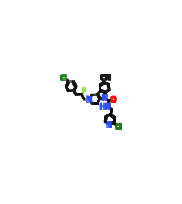 N#Cc1ccc2c(c1)c1c(n2C(=O)NCc2ccnc(Cl)c2)CCN(C/C(F)=C/c2ccc(Cl)cc2)C1